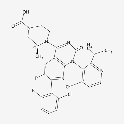 CC(C)c1nccc(Cl)c1-n1c(=O)nc(N2CCN(C(=O)O)C[C@@H]2C)c2cc(F)c(-c3c(F)cccc3Cl)nc21